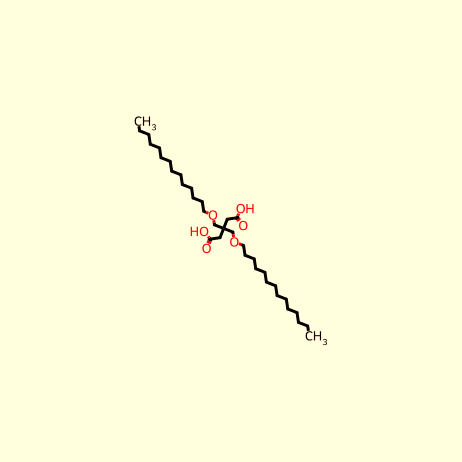 CCCCCCCCCCCCCCOCC(COCCCCCCCCCCCCCC)(CC(=O)O)CC(=O)O